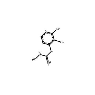 N=C(Cc1cccc(Cl)c1F)NO